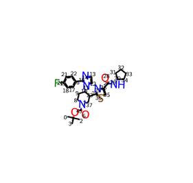 CC(C)(C)OC(=O)N1CCC(n2ccnc2-c2ccc(F)cc2)C(c2nc(C(=O)NC3CCCC3)cs2)C1